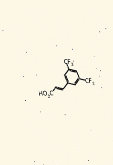 O=C(O)C=Cc1cc(C(F)(F)F)cc(C(F)(F)F)c1